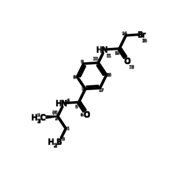 BC[C@@H](C)NC(=O)c1ccc(NC(=O)CBr)cc1